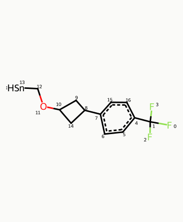 FC(F)(F)c1ccc(C2CC(O[CH2][SnH])C2)cc1